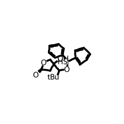 CC(C)(C)C(O[SiH](c1ccccc1)c1ccccc1)C1(O)COC(=O)C1